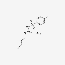 CCCCNC(=O)NS(=O)(=O)c1ccc(C)cc1.[Ag]